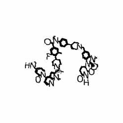 CNc1ccn(-c2ccnc3c2cc([C@H](C)N2CCC(c4c(C)cc(C(=O)N(C)c5ccc(C6CCN(Cc7ccc8c(c7)n(C)c(=O)n8C7CCC(=O)NC7=O)CC6)cc5)cc4F)CC2)n3C)c(=O)c1